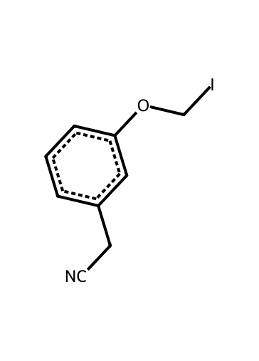 N#CCc1cccc(OCI)c1